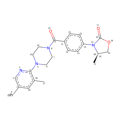 CCCc1cnc(N2CCN(C(=O)c3ccc(N4C(=O)OC[C@H]4C)cc3)CC2)c(C)c1